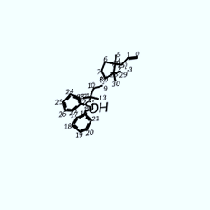 C=C[C@H](C)[C@@]1(C)CC[C@@H](CCC(C)(C)[Si](O)(c2ccccc2)c2ccccc2)C1(C)C